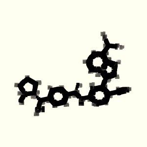 C[C@H](Nc1ncc(C#N)c(-c2cnc3c(C(F)F)cccn23)n1)c1ccc(C(O)[C@H]2CCCN2C)cc1